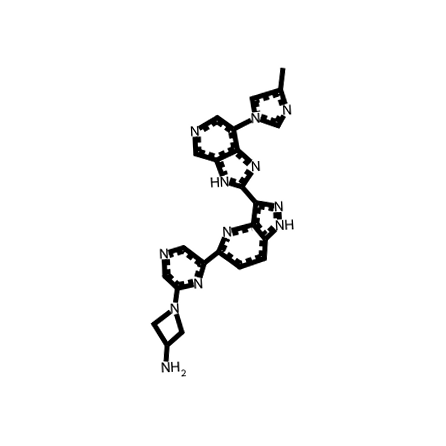 Cc1cn(-c2cncc3[nH]c(-c4n[nH]c5ccc(-c6cncc(N7CC(N)C7)n6)nc45)nc23)cn1